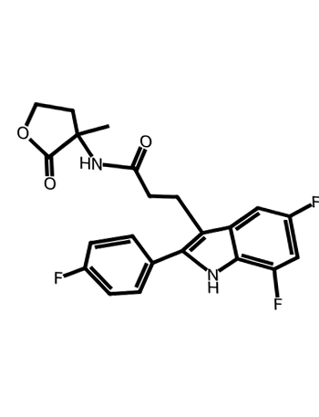 CC1(NC(=O)CCc2c(-c3ccc(F)cc3)[nH]c3c(F)cc(F)cc23)CCOC1=O